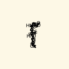 COC(=O)N[C@H](C(=O)N1CCC[C@H]1c1nc(-c2ccc(-c3cc(F)c(NC(=O)c4ccc(N5C[C@H](C)N(C(=O)[C@H]6CC6(C)C)C[C@H]5C)nc4)cc3OC(F)(F)F)cc2)c[nH]1)C(C)C